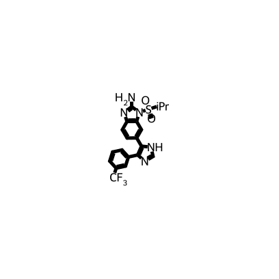 CC(C)S(=O)(=O)n1c(N)nc2ccc(-c3[nH]cnc3-c3cccc(C(F)(F)F)c3)cc21